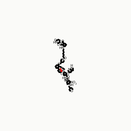 O=C1CCC(N2Cc3c(NCCCCCCC(=O)N4CCC(COc5cccc(-c6ccc(Cl)cc6)c5CN5CCN(c6ccc(C(=O)NS(=O)(=O)c7ccc(NCC8CCOCC8)c([N+](=O)[O-])c7)c(Oc7cnc8[nH]ccc8c7)c6)CC5)CC4)cccc3C2=O)C(=O)N1